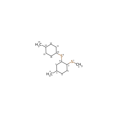 CSC1CCC(C)CC1SC1CCC(C)CC1